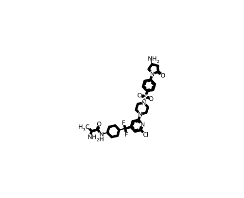 CC(N)C(=O)N[C@H]1CC[C@@H](C(F)(F)c2cc(Cl)nc(N3CCN(S(=O)(=O)c4ccc(N5C[C@H](N)CC5=O)cc4)CC3)c2)CC1